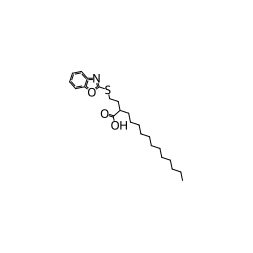 CCCCCCCCCCCCC(CCSc1nc2ccccc2o1)C(=O)O